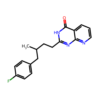 CC(CCc1nc2ncccc2c(=O)[nH]1)Cc1ccc(F)cc1